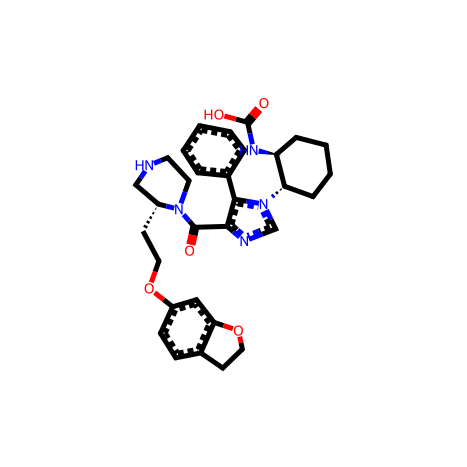 O=C(O)N[C@H]1CCCC[C@@H]1n1cnc(C(=O)N2CCNC[C@H]2CCOc2ccc3c(c2)OCC3)c1-c1ccccc1